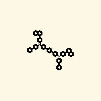 C1=CC(c2cccc3ccccc23)CC=C1N(c1ccc(-c2ccccc2)cc1)c1ccc(-c2ccc(-c3ccc(N(c4ccc(-c5ccccc5)cc4)c4ccc(-c5cccc6ccccc56)cc4)cc3)cc2)cc1